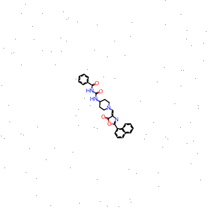 O=C(NC(=O)c1ccccc1)NC1CCN(/C=C2/N=C(c3cccc4ccccc34)OC2=O)CC1